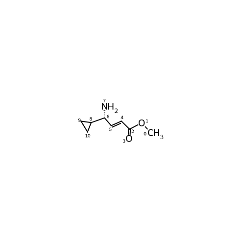 COC(=O)/C=C/[C@@H](N)C1CC1